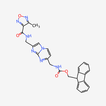 Cc1nonc1C(=O)NCc1cn2ccc(CNC(=O)OCC3c4ccccc4-c4ccccc43)nc2n1